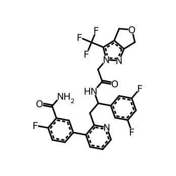 NC(=O)c1cc(-c2cccnc2CC(NC(=O)Cn2nc3c(c2C(F)(F)F)COC3)c2cc(F)cc(F)c2)ccc1F